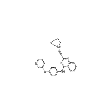 C#Cc1nc(Nc2ccc(Oc3cccnc3)cc2)c2ccccc2n1.C1CC2CC2N1